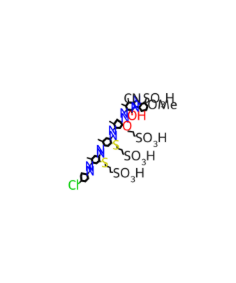 COc1ccc2c(nc3c(C#N)c(C)c(N=Nc4cc(C)c(N=Nc5cc(C)c(N=Nc6cc(C)c(N=Nc7ccc(Cl)cc7)cc6SCCCS(=O)(=O)O)cc5SCCCS(=O)(=O)O)cc4OCCCS(=O)(=O)O)c(O)n32)c1S(=O)(=O)O